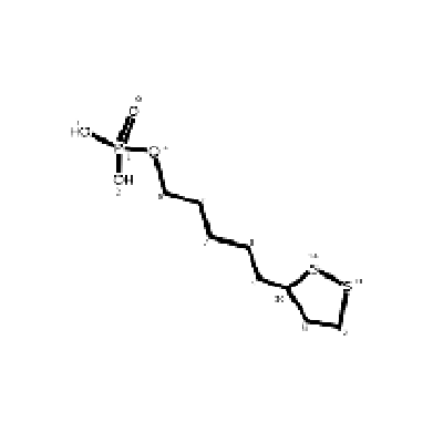 O=P(O)(O)OCCCCCC1CCSS1